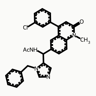 CC(=O)NC(c1ccc2c(c1)c(-c1cccc(Cl)c1)cc(=O)n2C)c1cncn1Cc1ccccc1